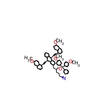 COc1ccc(C(OCC(C[CH]CC#N)Cc2ccc3c(C#Cc4cccc5cc(OC)ccc45)c4ccccc4c(C#Cc4cccc5cc(OC)ccc45)c3c2)(c2ccccc2)c2ccc(OC)cc2)cc1